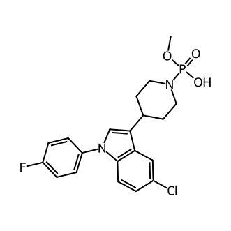 COP(=O)(O)N1CCC(c2cn(-c3ccc(F)cc3)c3ccc(Cl)cc23)CC1